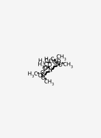 CCO[Si](CCCN(CCC[Si](OCC)(OCC)OCC)C(=O)OC(C)(C)C)(OCC)OCC